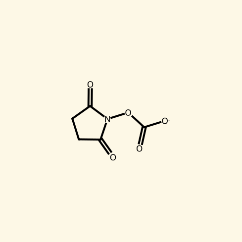 [O]C(=O)ON1C(=O)CCC1=O